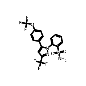 NS(=O)(=O)c1ccccc1-n1nc(C(F)(F)F)cc1-c1ccc(OC(F)(F)F)cc1